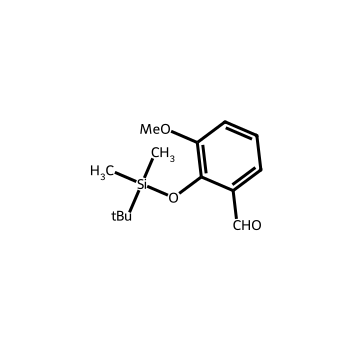 COc1cccc(C=O)c1O[Si](C)(C)C(C)(C)C